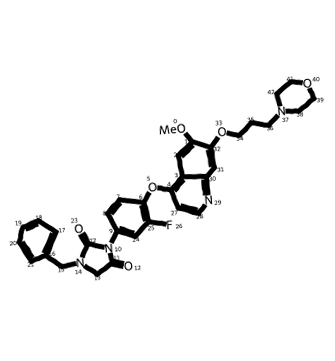 COc1cc2c(Oc3ccc(N4C(=O)CN(Cc5ccccc5)C4=O)cc3F)ccnc2cc1OCCCN1CCOCC1